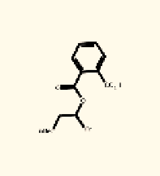 CCCCCCCCCCCC(OC(=O)c1ccccc1C(=O)O)C(C)C